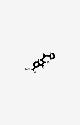 CCCc1c(C2CC2c2ccccn2)oc2ccc(C(=O)OC)cc2c1=O